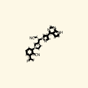 N#CC[C@@H]([C@H]1CCN(c2cccc(C(F)F)c2C#N)C1)n1cc(-c2ncnc3[nH]ccc23)cn1